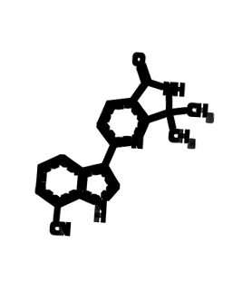 CC1(C)NC(=O)c2ccc(-c3c[nH]c4c(C#N)cccc34)nc21